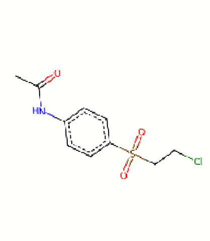 CC(=O)Nc1ccc(S(=O)(=O)CCCl)cc1